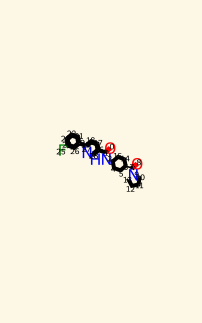 O=C(N[C@H]1CC[C@H](C(=O)N2CCCC2)CC1)c1ccc(-c2cccc(F)c2)nc1